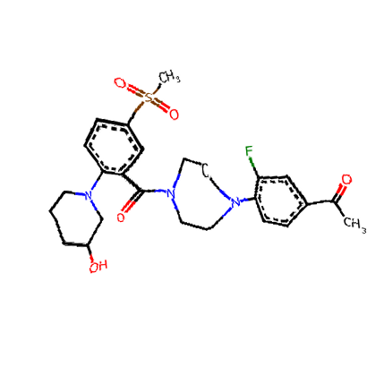 CC(=O)c1ccc(N2CCN(C(=O)c3cc(S(C)(=O)=O)ccc3N3CCCC(O)C3)CC2)c(F)c1